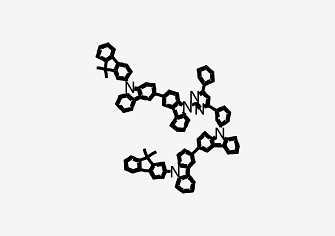 CC1(C)c2ccccc2-c2ccc(-n3c4ccccc4c4cc(-c5ccc6c(c5)c5ccccc5n6-c5cccc(-c6cc(-c7ccccc7)nc(-n7c8ccccc8c8cc(-c9ccc%10c(c9)c9ccccc9n%10-c9ccc%10c(c9)C(C)(C)c9ccccc9-%10)ccc87)n6)c5)ccc43)cc21